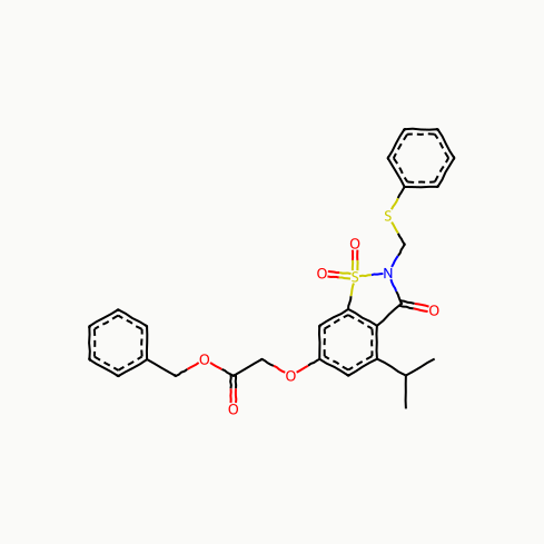 CC(C)c1cc(OCC(=O)OCc2ccccc2)cc2c1C(=O)N(CSc1ccccc1)S2(=O)=O